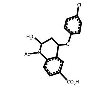 CC(=O)N1c2ccc(C(=O)O)cc2C(Oc2ccc(Cl)cc2)CC1C